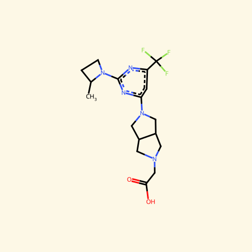 CC1CCN1c1nc(N2CC3CN(CC(=O)O)CC3C2)cc(C(F)(F)F)n1